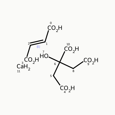 O=C(O)/C=C/C(=O)O.O=C(O)CC(O)(CC(=O)O)C(=O)O.[CaH2]